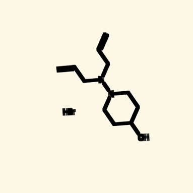 Br.C=CCN(CC=C)N1CCC(O)CC1